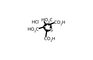 Cl.O=C(O)c1sc(C(=O)O)c(C(=O)O)c1C(=O)O